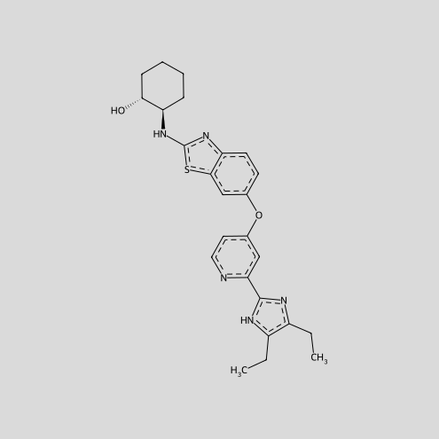 CCc1nc(-c2cc(Oc3ccc4nc(N[C@@H]5CCCC[C@H]5O)sc4c3)ccn2)[nH]c1CC